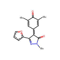 CC(C)(C)C1=CC(=C2C(=O)N(C(C)(C)C)N=C2c2ccco2)C=C(C(C)(C)C)C1=O